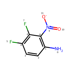 Nc1ccc(F)c(F)c1[N+](=O)[O-]